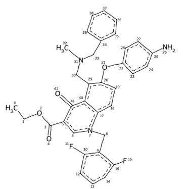 CCOC(=O)c1cn(Cc2c(F)cccc2F)c2ccc(Oc3ccc(N)cc3)c(CN(C)Cc3ccccc3)c2c1=O